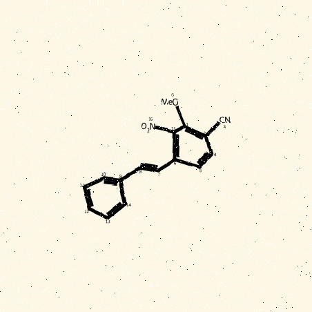 COc1c(C#N)ccc(C=Cc2ccccc2)c1[N+](=O)[O-]